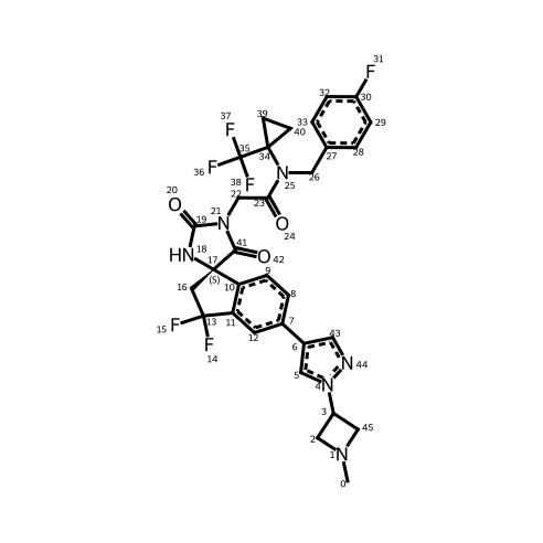 CN1CC(n2cc(-c3ccc4c(c3)C(F)(F)C[C@]43NC(=O)N(CC(=O)N(Cc4ccc(F)cc4)C4(C(F)(F)F)CC4)C3=O)cn2)C1